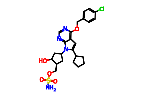 NS(=O)(=O)OC[C@@H]1CC(n2c(C3CCCC3)cc3c(OCc4ccc(Cl)cc4)ncnc32)C[C@@H]1O